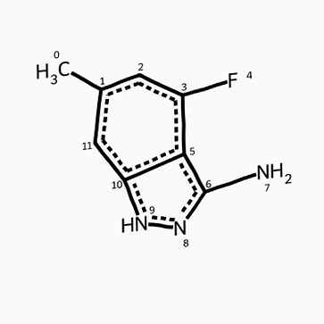 Cc1cc(F)c2c(N)n[nH]c2c1